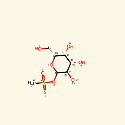 CS(=O)(=S)OC1O[C@H](CO)[C@H](O)[C@H](O)[C@H]1O